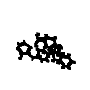 Cc1ccccc1CN1CCN(C2(c3cccc(C(C)C)c3)Cc3ccccc3C2=O)CC1